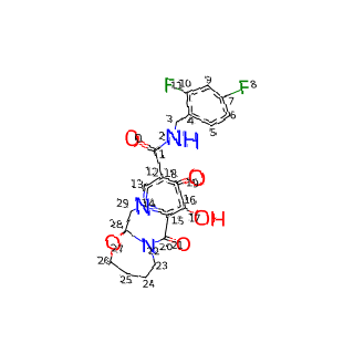 O=C(NCc1ccc(F)cc1F)c1cn2c(c(O)c1=O)C(=O)N1CCCCOC1C2